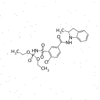 CCOP(=O)(NS(=O)(=O)c1cc(C(=O)NN2c3ccccc3CC2C)ccc1Cl)OCC